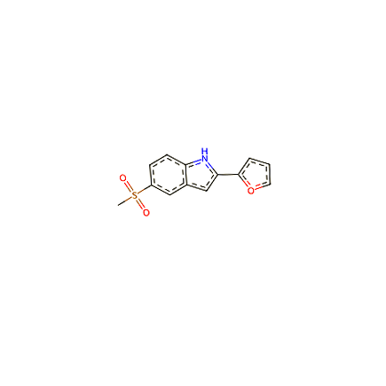 CS(=O)(=O)c1ccc2[nH]c(-c3ccco3)cc2c1